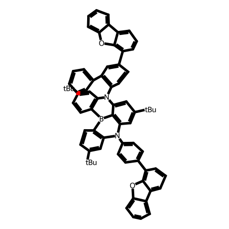 CC(C)(C)c1ccc2c(c1)N(c1ccc(-c3cccc4c3oc3ccccc34)cc1)c1cc(C(C)(C)C)cc3c1B2c1ccc(C(C)(C)C)cc1N3c1ccc(-c2cccc3c2oc2ccccc23)cc1-c1ccccc1